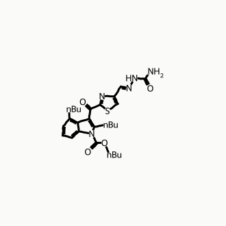 CCCCOC(=O)n1c(CCCC)c(C(=O)c2nc(C=NNC(N)=O)cs2)c2c(CCCC)cccc21